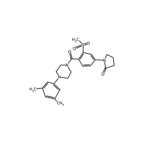 Cc1cc(C)cc(N2CCN(C(=O)c3ccc(N4CCCC4=O)cc3S(C)(=O)=O)CC2)c1